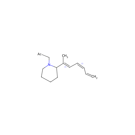 C=C/C=C\C=C(/C)C1CCCCN1CC(C)=O